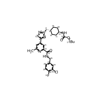 Cc1cc(-c2nnn(C[C@H]3CC[C@H](NC(=O)OC(C)(C)C)CC3)n2)cc(C(=O)NCc2ccc(F)c(Cl)c2)n1